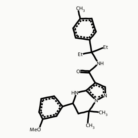 CCC(CC)(NC(=O)c1cnn2c1NC(c1cccc(OC)c1)CC2(C)C)c1ccc(C)cc1